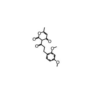 COc1ccc(CCC(=O)C2C(=O)C=C(C)OC2=O)c(OC)c1